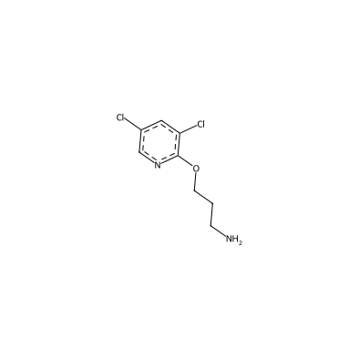 NCCCOc1ncc(Cl)cc1Cl